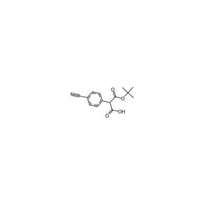 CC(C)(C)OC(=O)C(C(=O)O)c1ccc(C#N)cc1